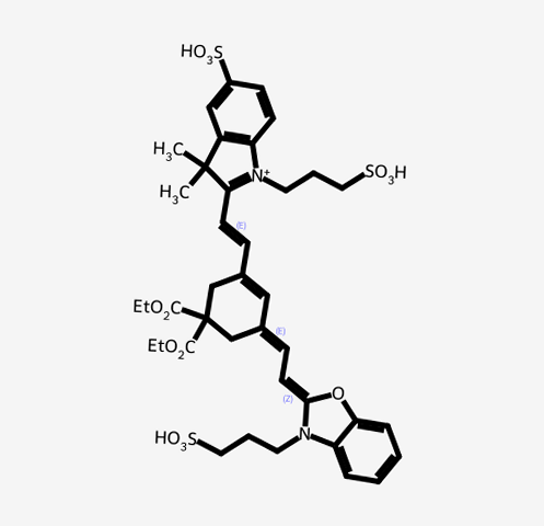 CCOC(=O)C1(C(=O)OCC)CC(/C=C/C2=[N+](CCCS(=O)(=O)O)c3ccc(S(=O)(=O)O)cc3C2(C)C)=CC(=C/C=C2\Oc3ccccc3N2CCCS(=O)(=O)O)/C1